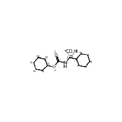 O=C(N[C@H](C(=O)O)C1CCCCC1)OC1CCCCC1